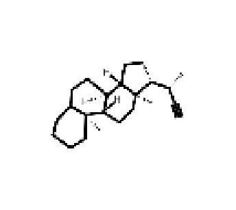 C#C[C@@H](C)[C@H]1CC[C@H]2[C@@H]3CCC4CCCC[C@]4(C)[C@H]3CC[C@]12C